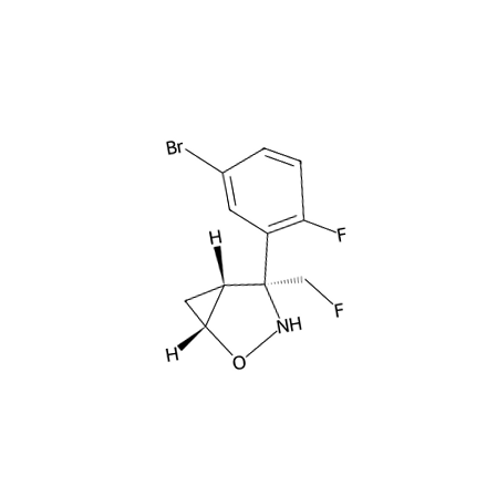 FC[C@]1(c2cc(Br)ccc2F)NO[C@@H]2C[C@@H]21